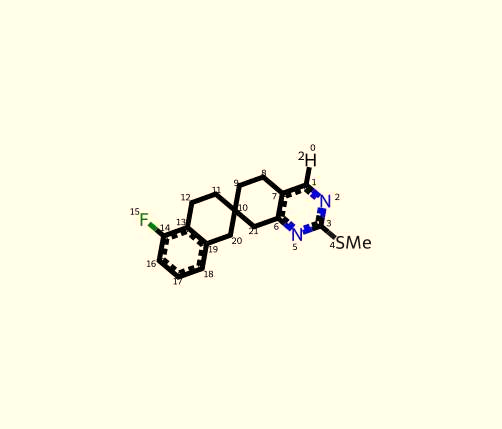 [2H]c1nc(SC)nc2c1CCC1(CCc3c(F)cccc3C1)C2